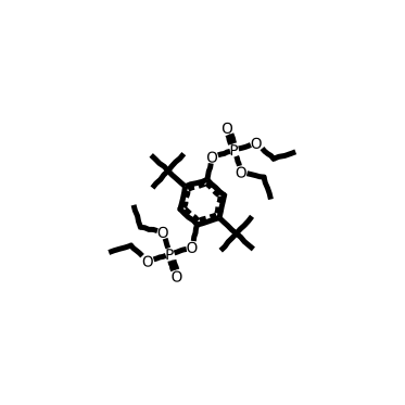 CCOP(=O)(OCC)Oc1cc(C(C)(C)C)c(OP(=O)(OCC)OCC)cc1C(C)(C)C